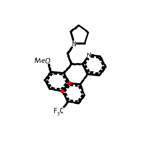 COc1ccccc1C(CN1CCCC1)c1ncccc1-c1ccc(C(F)(F)F)cc1